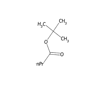 CC[CH]C(=O)OC(C)(C)C